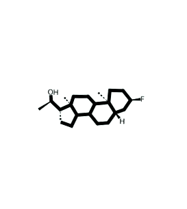 C[C@@H](O)[C@H]1CCC2C3CC[C@H]4C[C@H](F)CC[C@]4(C)C3CC[C@@]21C